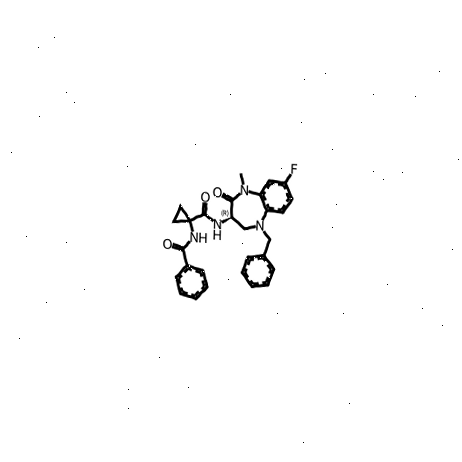 CN1C(=O)[C@H](NC(=O)C2(NC(=O)c3ccccc3)CC2)CN(Cc2ccccc2)c2ccc(F)cc21